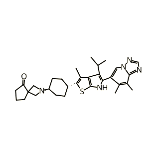 Cc1c(-c2[nH]c3sc([C@H]4CC[C@H](N5CC6(CCCC6=O)C5)CC4)c(C)c3c2C(C)C)cn2ncnc2c1C